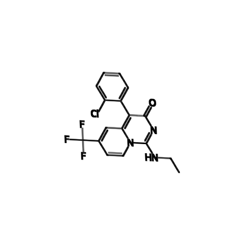 CCNc1nc(=O)c(-c2ccccc2Cl)c2cc(C(F)(F)F)ccn12